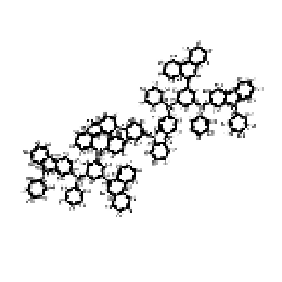 c1ccc(N(c2cc(-c3cc4ccccc4c4ccccc34)cc(N(c3ccccc3)c3ccc4c5ccccc5n(-c5ccc(-c6ccc7oc8cccc(N(c9ccccc9)c9cc(-c%10cc%11ccccc%11c%11ccccc%10%11)cc(N(c%10ccccc%10)c%10ccc%11c%12ccccc%12n(-c%12ccccc%12)c%11c%10)c9)c8c7c6)cc5)c4c3)c2)c2ccc3c4ccccc4n(-c4ccccc4)c3c2)cc1